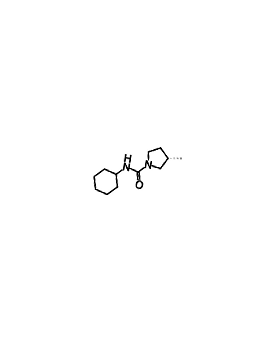 C[C@H]1CCN(C(=O)NC2CCCCC2)C1